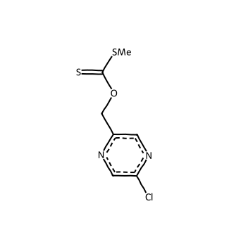 CSC(=S)OCc1cnc(Cl)cn1